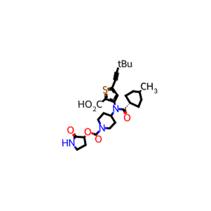 CC(C)(C)C#Cc1cc(N(C(=O)[C@H]2CC[C@H](C)CC2)C2CCN(C(=O)O[C@H]3CCNC3=O)CC2)c(C(=O)O)s1